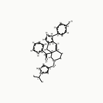 CC(C)n1cc(SN2CCC3=Cc4c(cnn4-c4ccc(F)cc4)CC3(C(=O)c3ccccn3)C2)cn1